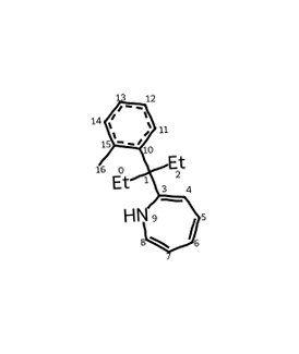 CCC(CC)(C1=CC=CC=CN1)c1ccccc1C